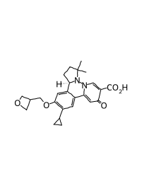 CC1(C)CC[C@@H]2c3cc(OCC4COC4)c(C4CC4)cc3-c3cc(=O)c(C(=O)O)cn3N21